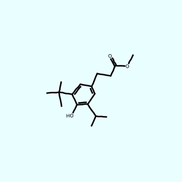 COC(=O)CCc1cc(C(C)C)c(O)c(C(C)(C)C)c1